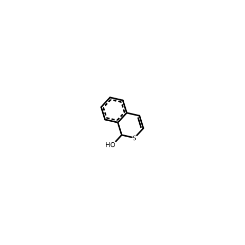 OC1SC=Cc2ccccc21